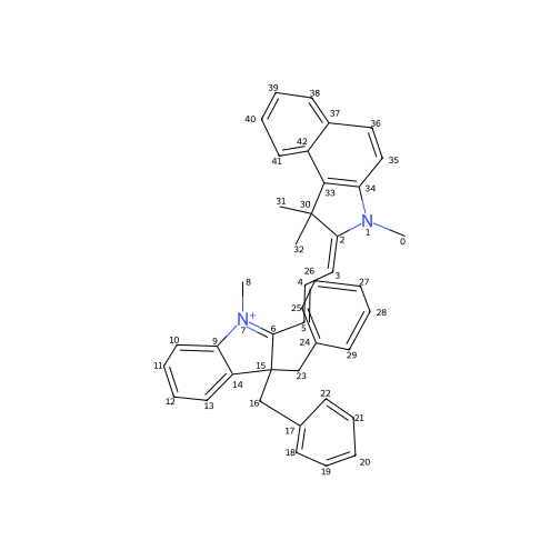 CN1/C(=C/C=C/C2=[N+](C)c3ccccc3C2(Cc2ccccc2)Cc2ccccc2)C(C)(C)c2c1ccc1ccccc21